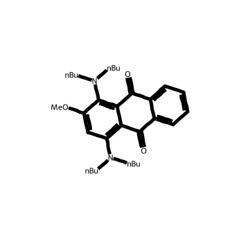 CCCCN(CCCC)c1cc(OC)c(N(CCCC)CCCC)c2c1C(=O)c1ccccc1C2=O